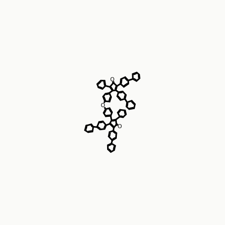 O=C1C(c2ccccc2)=C(c2ccc(Oc3ccc(C4=C(c5ccccc5)C(=O)C(c5ccc(-c6ccccc6)cc5)=C4c4ccc(-c5ccccc5)cc4)cc3)cc2)C(c2ccc(-c3ccccc3)cc2)=C1c1ccc(-c2ccccc2)cc1